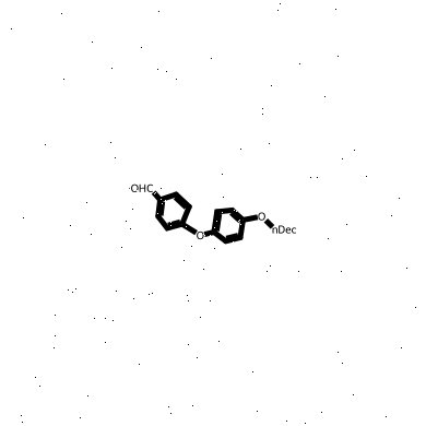 CCCCCCCCCCOc1ccc(Oc2ccc([C]=O)cc2)cc1